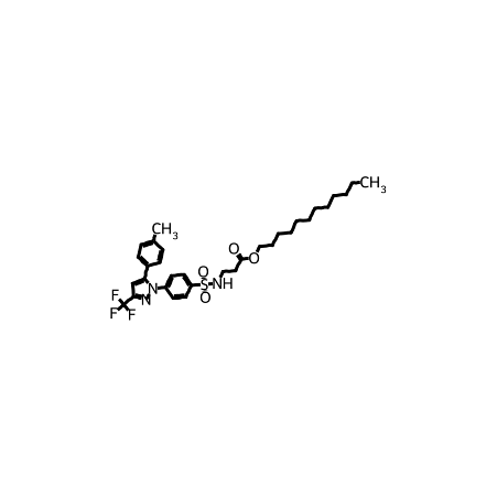 CCCCCCCCCCCCOC(=O)CCNS(=O)(=O)c1ccc(-n2nc(C(F)(F)F)cc2-c2ccc(C)cc2)cc1